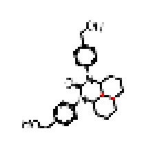 O=C(N(c1ccc(CO)cc1)C1CCCCC1)N(c1ccc(CO)cc1)C1CCCCC1